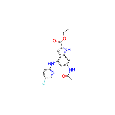 CCOC(=O)c1cc2c(Nc3ccc(F)cn3)cc(NC(C)=O)cc2[nH]1